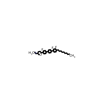 C/C=C/C1CCC(c2ccc(-c3ccc(-c4ccc(CCCCCCCCCC)c(F)c4F)cc3)cc2F)OC1